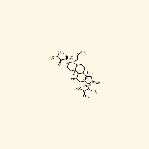 COC[C@@]1(C)C2CCC3C4(CC24CC[C@@H]1NC(=O)C(C)C)C(=O)C[C@]1(C)[C@@H](C(C)N(C)C)[C@H](O)C[C@@]31C